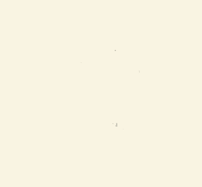 CCC(C(=O)O)C(N)c1cc(Br)c(O)c(Br)c1